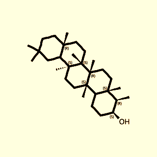 C[C@H]1[C@@H](O)CCC2[C@]1(C)CC[C@@]1(C)[C@@]3(C)CC[C@@]4(C)CCC(C)(C)CC4[C@]3(C)CC[C@@]21C